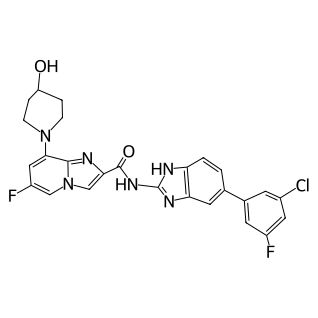 O=C(Nc1nc2cc(-c3cc(F)cc(Cl)c3)ccc2[nH]1)c1cn2cc(F)cc(N3CCC(O)CC3)c2n1